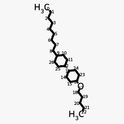 CCCCCCCCCC1CCC([C@H]2CC[C@H](OCCCCC)CC2)CC1